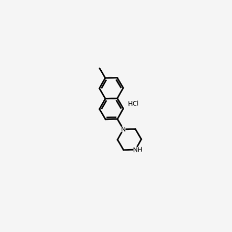 Cc1ccc2cc(N3CCNCC3)ccc2c1.Cl